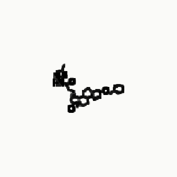 Cc1cnc(NC(=O)CC[C@@H]2CC(=O)[C@@]3(C)CCC4c5ccc(OCc6ccccc6)cc5CCC4C23)s1